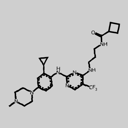 CN1CCN(c2ccc(Nc3ncc(C(F)(F)F)c(NCCCNC(=O)C4CCC4)n3)c(C3CC3)c2)CC1